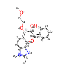 COCCO[C@H]1c2ccc3c(nc(C)n3C)c2O[C@H](c2ccccc2)[C@H]1O